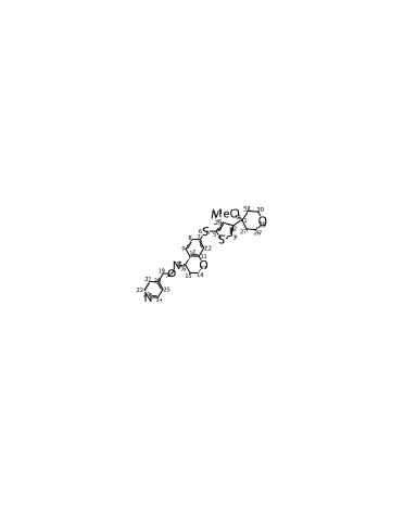 COC1(c2csc(Sc3ccc4c(c3)OCC/C4=N\OCc3ccncc3)c2)CCOCC1